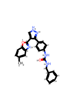 Cc1ccc2oc(-c3c[nH]nc3-c3ccc(NC(=O)NCc4ccccc4)cc3)nc2c1